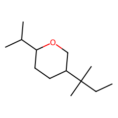 CCC(C)(C)C1CCC(C(C)C)OC1